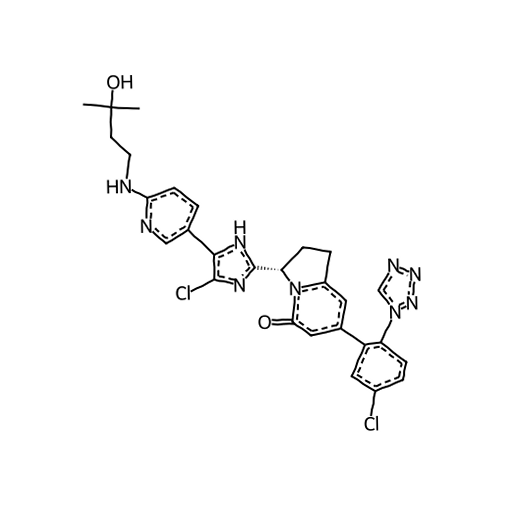 CC(C)(O)CCNc1ccc(-c2[nH]c([C@@H]3CCc4cc(-c5cc(Cl)ccc5-n5cnnn5)cc(=O)n43)nc2Cl)cn1